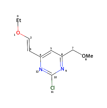 CCOC=Cc1cc(COC)nc(Cl)n1